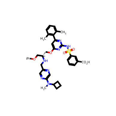 Cc1cccc(C)c1-c1cc(OC[C@@H](COC(C)C)NCc2cnc(N(C)C3CCC3)cn2)nc(NS(=O)(=O)c2cccc(C(=O)O)c2)n1